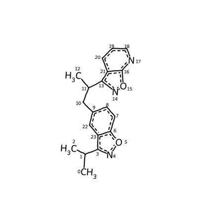 CC(C)c1noc2ccc(CC(C)c3noc4ncccc34)cc12